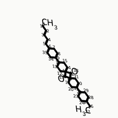 CCCCCCC1CCC(C2CCC3(CC2)C(=O)C2(CCC(C4CCC(CC)CC4)CC2)C3=O)CC1